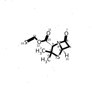 CC1(C)S[C@@H]2CC(=O)N2[C@H]1C(=O)OC=S